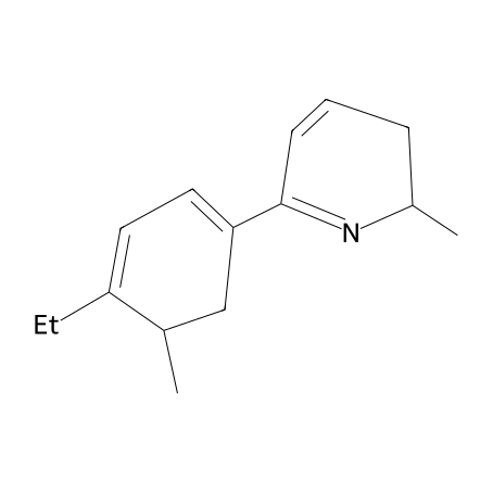 CCC1=CC=C(C2=NC(C)CC=C2)CC1C